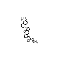 COc1cccc2c1CCCC2N1CCC(Cc2ccccc2OC(Cl)OC)C1=O